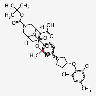 Cc1cc(Cl)c(O[C@@H]2CCN(c3ccc(C4=C(C(=O)O)[C@@H]5CN(C(=O)OC(C)(C)C)C[C@H](C4)N5C(=O)OC(C)(C)C)cn3)C2)c(Cl)c1